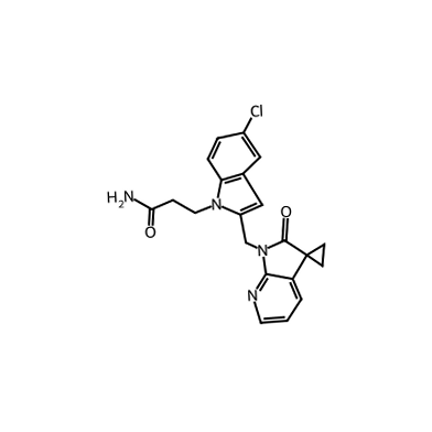 NC(=O)CCn1c(CN2C(=O)C3(CC3)c3cccnc32)cc2cc(Cl)ccc21